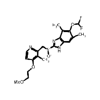 COCCOc1ccnc(C[S+]([O-])c2nc3c(C)c(OC(F)F)c(C)cc3[nH]2)c1C